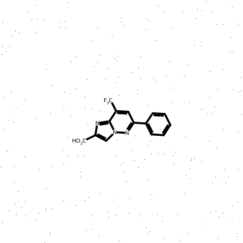 O=C(O)c1cn2nc(-c3ccccc3)cc(C(F)(F)F)c2n1